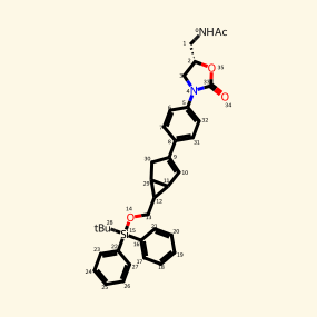 CC(=O)NC[C@H]1CN(c2ccc(C3=CC4C(CO[Si](c5ccccc5)(c5ccccc5)C(C)(C)C)C4C3)cc2)C(=O)O1